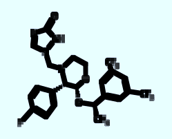 C[C@@H](O[C@H]1OCCN(Cn2cnc(=O)[nH]2)[C@H]1c1ccc(F)cc1)c1cc(C(F)(F)F)cc(C(F)(F)F)c1